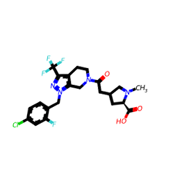 CN1CC(CC(=O)N2CCc3c(C(F)(F)F)nn(Cc4ccc(Cl)cc4F)c3C2)C[C@@H]1C(=O)O